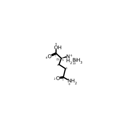 NC(=O)CC[C@H](N)C(=O)O.[BiH3]